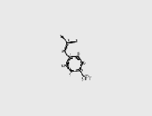 CC(C)=Cc1ccc(C(C)C)cc1